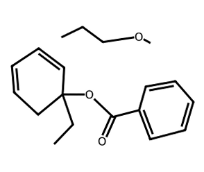 CCC1(OC(=O)c2ccccc2)C=CC=CC1.CCCOC